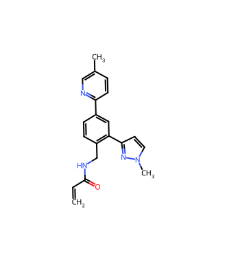 C=CC(=O)NCc1ccc(-c2ccc(C)cn2)cc1-c1ccn(C)n1